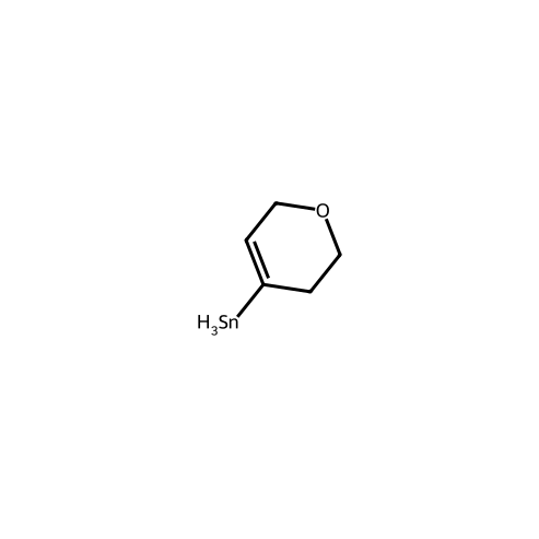 [SnH3][C]1=CCOCC1